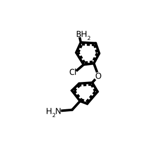 Bc1ccc(Oc2ccc(CN)cc2)c(Cl)c1